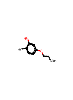 CCCCCCCCCCOc1ccc(C(C)=O)c(O)c1